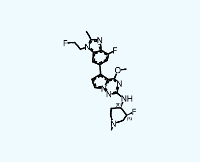 COc1nc(N[C@@H]2CCN(C)C[C@@H]2F)nn2ccc(-c3cc(F)c4nc(C)n(CCF)c4c3)c12